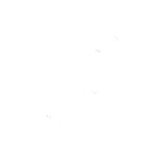 O=C(Nc1ccc(Cl)c(-c2cnc3ccccc3n2)c1)c1ccc(N2CCOCS2(=O)=O)cc1